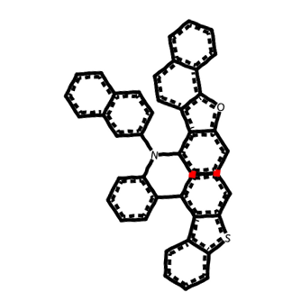 c1ccc(N(c2ccc3ccccc3c2)c2cccc3oc4c5ccccc5ccc4c23)c(-c2cccc3sc4ccccc4c23)c1